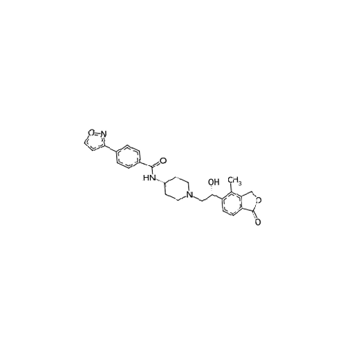 Cc1c([C@@H](O)CN2CCC(NC(=O)c3ccc(-c4ccon4)cc3)CC2)ccc2c1COC2=O